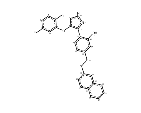 Cc1ccc(C)c(Oc2c[nH]nc2-c2ccc(OCc3ccc4ccccc4c3)cc2O)c1